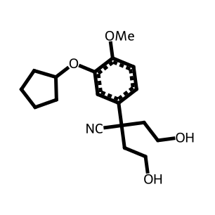 COc1ccc(C(C#N)(CCO)CCO)cc1OC1CCCC1